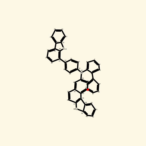 c1ccc(-c2ccccc2N(c2ccc(-c3cccc4c3sc3ccccc34)cc2)c2ccc3c(ccc4oc5ccccc5c43)c2)cc1